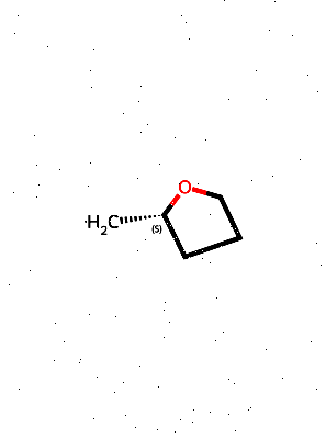 [CH2][C@H]1CCCO1